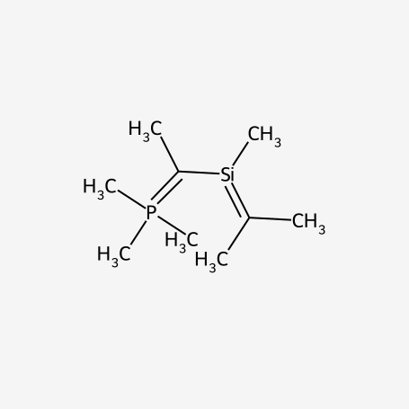 CC(C)=[Si](C)C(C)=P(C)(C)C